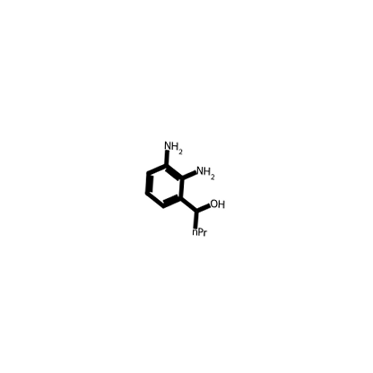 CCCC(O)c1cccc(N)c1N